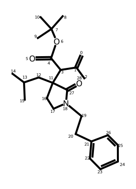 C=C(C)C(C(=O)OC(C)(C)C)C1(CC(C)C)CCN(CCc2ccccc2)C1=O